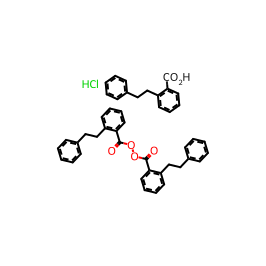 Cl.O=C(O)c1ccccc1CCc1ccccc1.O=C(OOC(=O)c1ccccc1CCc1ccccc1)c1ccccc1CCc1ccccc1